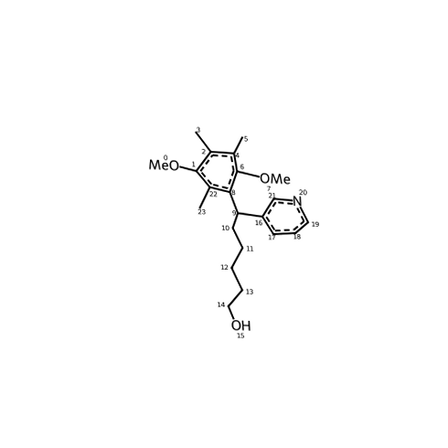 COc1c(C)c(C)c(OC)c(C(CCCCCO)c2cccnc2)c1C